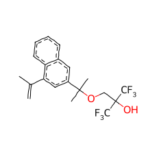 C=C(C)c1cc(C(C)(C)OCC(O)(C(F)(F)F)C(F)(F)F)cc2ccccc12